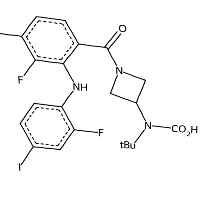 CC(C)(C)N(C(=O)O)C1CN(C(=O)c2ccc(F)c(F)c2Nc2ccc(I)cc2F)C1